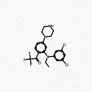 CCN(c1cc(Cl)cc(Cl)c1)c1cc(N2CCNCC2)ccc1C(=O)C(F)(F)F